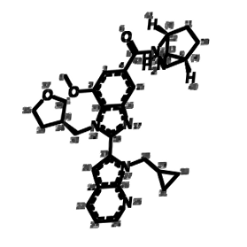 COc1cc(C(=O)N2C[C@H]3CC[C@@H]2[C@@H]3N)cc2nc(-c3cc4cccnc4n3CC3CC3)n(C[C@H]3CCOC3)c12